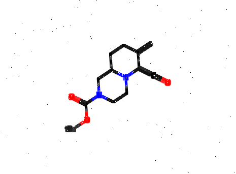 C=C1CCC2CN(C(=O)OC(C)(C)C)CCN2C1=C=O